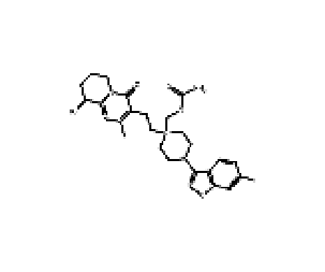 Cc1nc2n(c(=O)c1CC[N+]1(COC(N)=O)CCC(c3noc4cc(F)ccc34)CC1)CCCC2O